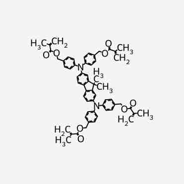 C=C(C)C(=O)OCc1ccc(N(c2ccc(COC(=O)C(=C)C)cc2)c2ccc3c(c2)C(C)(C)c2cc(N(c4ccc(COC(=O)C(=C)C)cc4)c4ccc(COC(=O)C(=C)C)cc4)ccc2-3)cc1